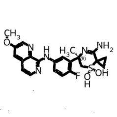 COc1cnc2c(Nc3ccc(F)c([C@]4(C)CS(O)(O)C5(CC5)C(N)=N4)c3)nccc2c1